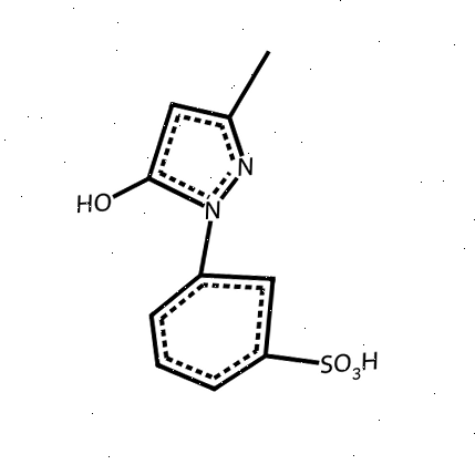 Cc1cc(O)n(-c2cccc(S(=O)(=O)O)c2)n1